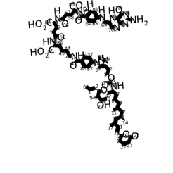 C/C=C/[C@@H]1O[C@H]([C@@H](/C=C/C=C(\C)C[C@@H](C)/C=C(C)\C=C\[C@H]2CC=CC(=O)O2)NC(=O)OCCc2cn(-c3ccc(C(=O)NCCCC[C@H](NC(=O)CC[C@H](NC(=O)CC[C@H](NC(=O)c4ccc(NCc5cnc6nc(N)nc(O)c6n5)cc4)C(=O)O)C(=O)O)C(=O)O)cc3)nn2)C[C@@H](O)[C@@H]1C